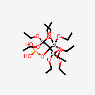 CCO[Si](OCC)(OCC)C(OP(O)O)([Si](OCC)(OCC)OCC)[Si](OCC)(OCC)OCC